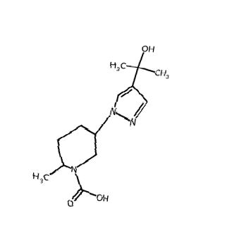 CC1CCC(n2cc(C(C)(C)O)cn2)CN1C(=O)O